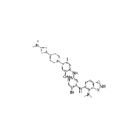 COc1cc(N2CCC(N3CC(N(C)C)C3)CC2)c(C)cc1Nc1ncc(Br)c(Nc2ccc3c(c2P(C)C)ONO3)n1